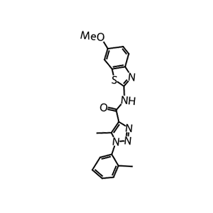 COc1ccc2nc(NC(=O)c3nnn(-c4ccccc4C)c3C)sc2c1